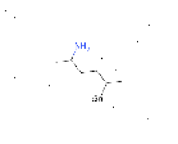 CC(N)CC[CH](C)[Sn]